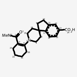 CNC(=O)C1=C(N2CCC3(CCc4cc(C(=O)O)ccc43)CC2)CCCC1